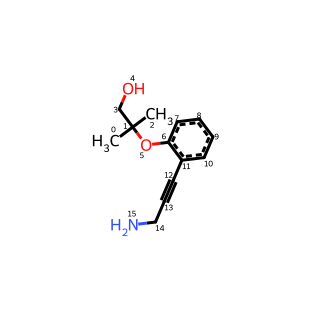 CC(C)(CO)Oc1ccccc1C#CCN